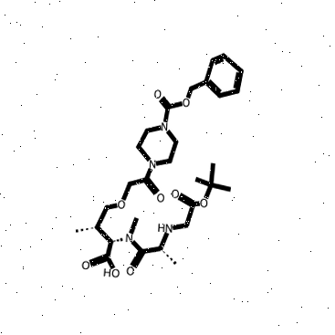 C[C@H](COCC(=O)N1CCN(C(=O)OCc2ccccc2)CC1)[C@@H](C(=O)O)N(C)C(=O)[C@@H](C)NCC(=O)OC(C)(C)C